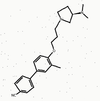 Cc1cc(-c2ccc(C#N)cc2)ccc1OCCCN1CC[C@@H](N(C)C)C1